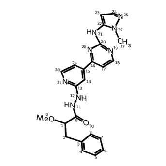 COC(Cc1ccccc1)C(=O)NNc1cc(-c2ccnc(Nc3ccnn3C)n2)ccn1